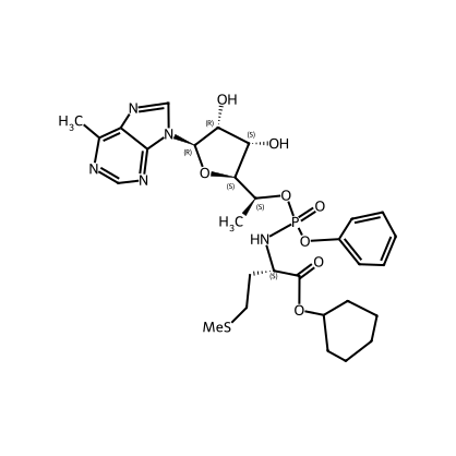 CSCC[C@H](NP(=O)(Oc1ccccc1)O[C@@H](C)[C@H]1O[C@@H](n2cnc3c(C)ncnc32)[C@H](O)[C@@H]1O)C(=O)OC1CCCCC1